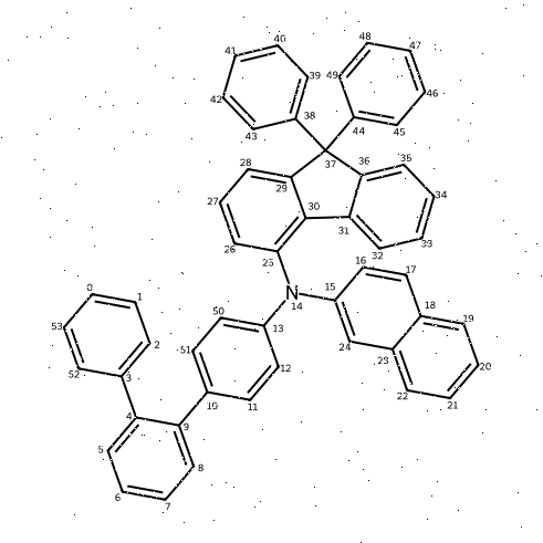 c1ccc(-c2ccccc2-c2ccc(N(c3ccc4ccccc4c3)c3cccc4c3-c3ccccc3C4(c3ccccc3)c3ccccc3)cc2)cc1